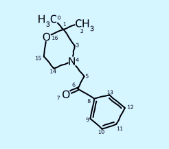 CC1(C)CN(CC(=O)c2ccccc2)CCO1